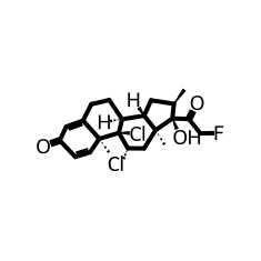 C[C@@H]1C[C@H]2[C@@H]3CCC4=CC(=O)C=C[C@]4(C)[C@@]3(Cl)[C@@H](Cl)C[C@]2(C)[C@@]1(O)C(=O)CF